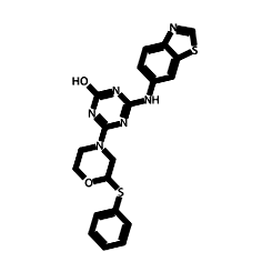 Oc1nc(Nc2ccc3ncsc3c2)nc(N2CCOC(Sc3ccccc3)C2)n1